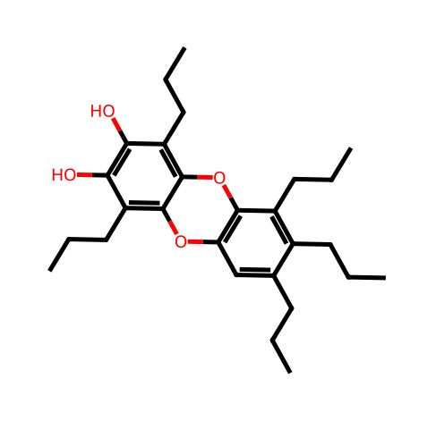 CCCc1cc2c(c(CCC)c1CCC)Oc1c(CCC)c(O)c(O)c(CCC)c1O2